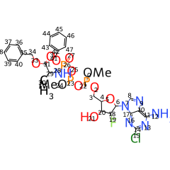 COP(OCC1OC(n2cnc3c(N)nc(Cl)nc32)C(F)C1O)OP(OC)OP(=O)(NC(C)C(=O)OCc1ccccc1)Oc1ccccc1